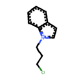 ClCCCn1ccc2ccccc21